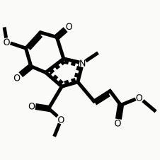 COC(=O)C=Cc1c(C(=O)OC)c2c(n1C)C(=O)C=C(OC)C2=O